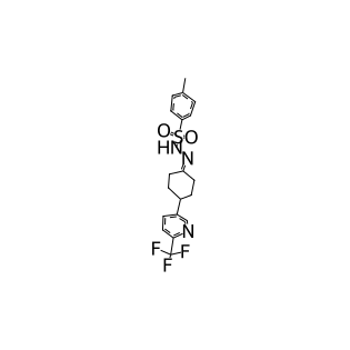 Cc1ccc(S(=O)(=O)NN=C2CCC(c3ccc(C(F)(F)F)nc3)CC2)cc1